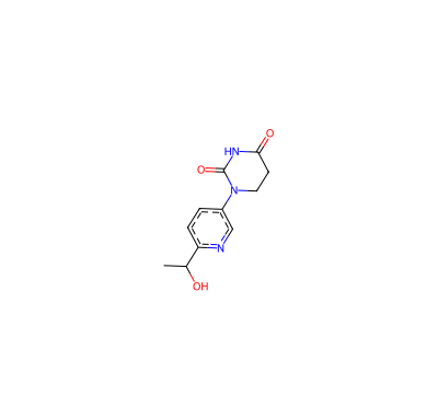 CC(O)c1ccc(N2CCC(=O)NC2=O)cn1